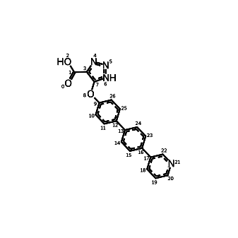 O=C(O)c1nn[nH]c1Oc1ccc(-c2ccc(-c3cccnc3)cc2)cc1